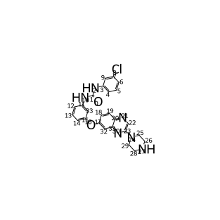 O=C(Nc1cccc(Cl)c1)Nc1cccc(Oc2ccc3ncc(N4CCNCC4)nc3c2)c1